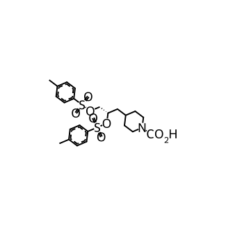 Cc1ccc(S(=O)(=O)OC[C@H](CC2CCN(C(=O)O)CC2)OS(=O)(=O)c2ccc(C)cc2)cc1